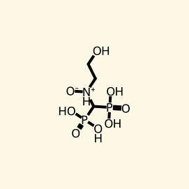 O=P(O)(O)C([NH+]([O-])CCO)P(=O)(O)O